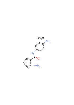 Nc1ccccc1C(=O)Nc1ccc(N)c(S(=O)(=O)O)c1